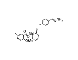 COc1ccc(C)cc1S(=O)(=O)Nc1ccccc1SCCc1ccc(C=NN)cc1